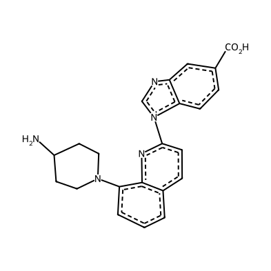 NC1CCN(c2cccc3ccc(-n4cnc5cc(C(=O)O)ccc54)nc23)CC1